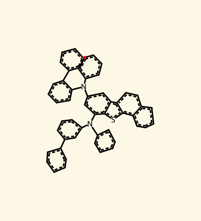 c1ccc(-c2cccc(N(c3ccccc3)c3cc(N(c4ccccc4)c4ccccc4-c4ccccc4)cc4c3sc3c5ccccc5ccc43)c2)cc1